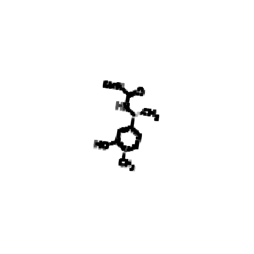 CNC(=O)N[C@H](C)c1ccc(C)c(O)c1